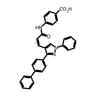 O=C(/C=C\c1cn(-c2ccccc2)nc1-c1ccc(-c2ccccc2)cc1)Nc1ccc(C(=O)O)cc1